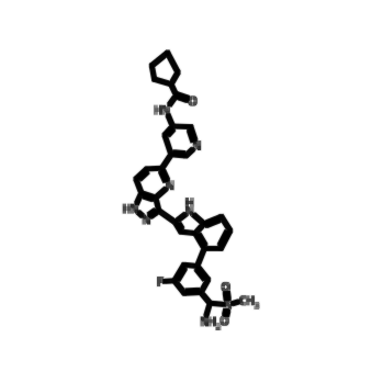 CS(=O)(=O)C(N)c1cc(F)cc(-c2cccc3[nH]c(-c4n[nH]c5ccc(-c6cncc(NC(=O)C7CCCC7)c6)nc45)cc23)c1